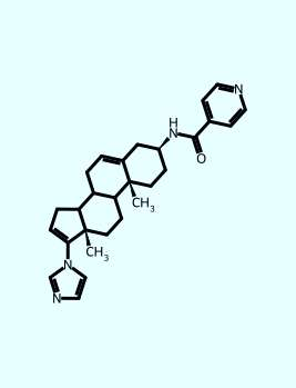 C[C@]12CC[C@H](NC(=O)c3ccncc3)CC1=CCC1C2CC[C@]2(C)C(n3ccnc3)=CCC12